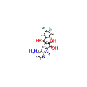 CN(c1cc(N)ccn1)[C@@H]1C[C@H]([C@H](O)c2ccc(F)c(F)c2)[C@@H](O)[C@H]1O